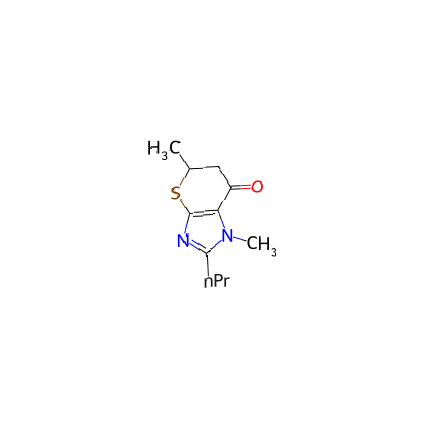 CCCc1nc2c(n1C)C(=O)CC(C)S2